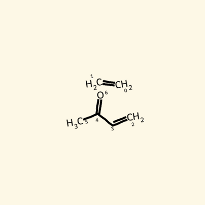 C=C.C=CC(C)=O